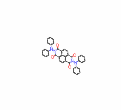 O=C1c2ccc3c4c(ccc(c24)C(=O)N1N(c1ccccc1)c1ccccc1)C(=O)N(N(c1ccccc1)c1ccccc1)C3=O